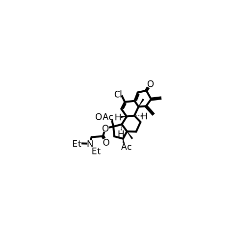 C=C1C(=C)[C@@]2(C)C(=CC1=O)C(Cl)=C[C@H]1[C@@H]3C(OC(C)=O)(OC(=O)CN(CC)CC)C[C@H](C(C)=O)[C@@]3(C)CC[C@@H]12